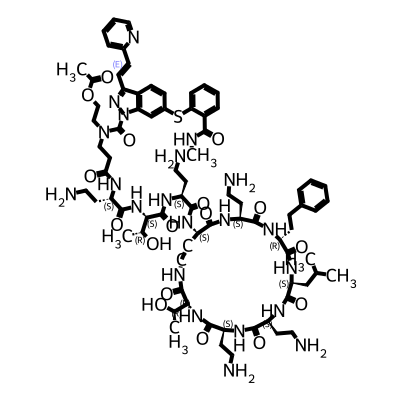 CNC(=O)c1ccccc1Sc1ccc2c(/C=C/c3ccccn3)nn(C(=O)N(CCOC(C)=O)CCC(=O)N[C@@H](CCN)C(=O)N[C@H](C(=O)N[C@@H](CCN)C(=O)N[C@H]3CCNC(=O)[C@@H]([C@@H](C)O)NC(=O)[C@H](CCN)NC(=O)[C@H](CCN)NC(=O)[C@H](CC(C)C)NC(=O)[C@@H](CCc4ccccc4)NC(=O)[C@H](CCN)NC3=O)[C@@H](C)O)c2c1